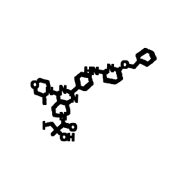 CC1COCCN1c1nc(-c2ccc(Nc3cccc(OCc4ccccc4)n3)cc2)nc2c1CCN(C(=O)C(C)(O)CI)C2